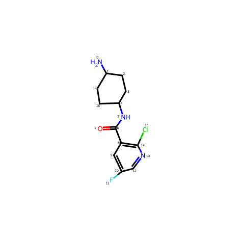 NC1CCC(NC(=O)c2cc(F)cnc2Cl)CC1